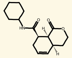 O=C1OCC[C@H]2C=CC[C@@H](C(=O)NC3CCCCC3)[C@@H]12